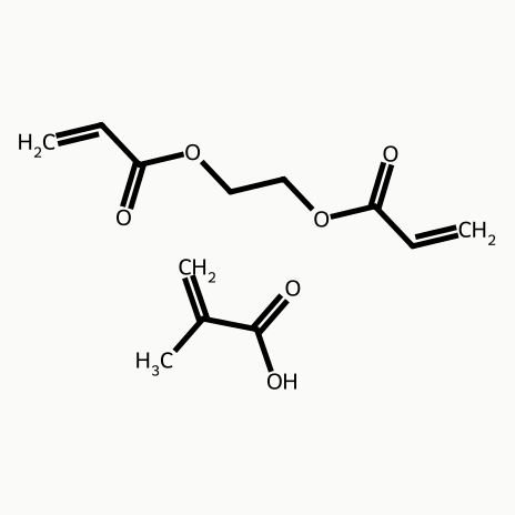 C=C(C)C(=O)O.C=CC(=O)OCCOC(=O)C=C